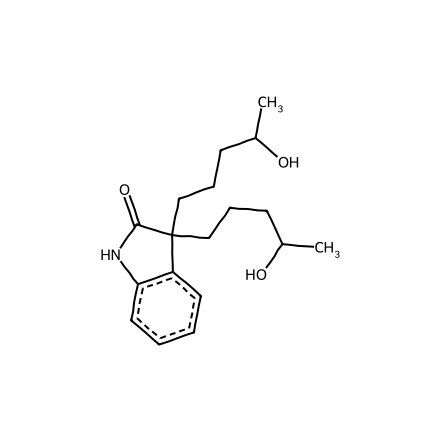 CC(O)CCCC1(CCCC(C)O)C(=O)Nc2ccccc21